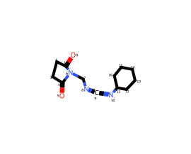 O=C1CCC(=O)N1CN=C=NC1CCCCC1